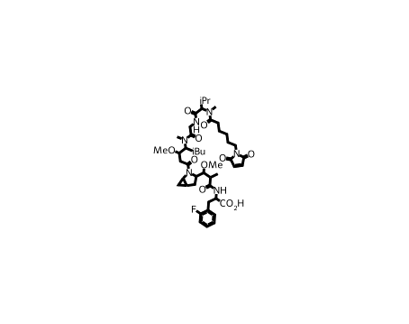 CCC(C)C(C(CC(=O)N1C2CC2CC1C(OC)C(C)C(=O)NC(Cc1ccccc1F)C(=O)O)OC)N(C)C(=O)CNC(=O)C(C(C)C)N(C)C(=O)CCCCCN1C(=O)C=CC1=O